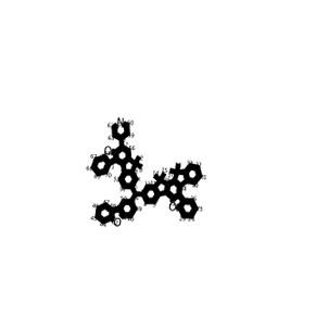 CC1(C)c2cc(C(c3ccc4c(c3)C(C)(C)c3c5c(c6c(oc7ccccc76)c3-4)-c3ccccc3C5(C)C)c3ccc4oc5ccccc5c4c3)ccc2-c2c1cc(-c1ccncc1)c1oc3ccccc3c21